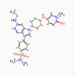 CCNc1cc2c(cn1)c(-c1ccc(S(=O)(=O)N(C)C)cc1)nn2[C@H]1CC[C@@H](Oc2ccc(=O)n(C)n2)CC1